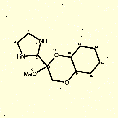 COC1(C2NCCN2)COC2CCCCC2O1